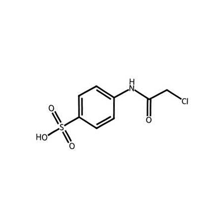 O=C(CCl)Nc1ccc(S(=O)(=O)O)cc1